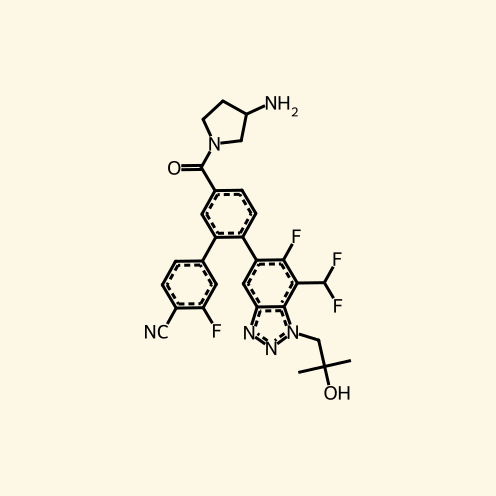 CC(C)(O)Cn1nnc2cc(-c3ccc(C(=O)N4CCC(N)C4)cc3-c3ccc(C#N)c(F)c3)c(F)c(C(F)F)c21